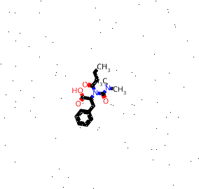 CCCC(=O)N(C(=O)N(C)C)C(Cc1ccccc1)C(=O)O